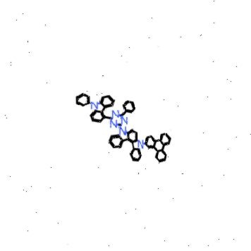 c1ccc(-c2nc(-c3cccc4c3c3ccccc3n4-c3ccccc3)nc(-n3c4ccccc4c4c5c6ccccc6n(-c6ccc7c8ccccc8c8ccccc8c7c6)c5ccc43)n2)cc1